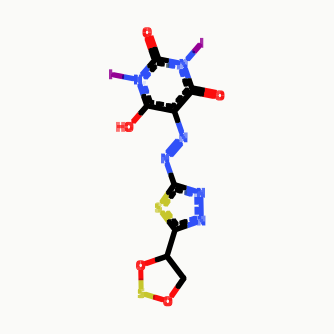 O=c1c(N=Nc2nnc(C3COSO3)s2)c(O)n(I)c(=O)n1I